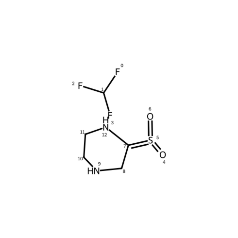 FC(F)F.O=S(=O)=C1CNCCN1